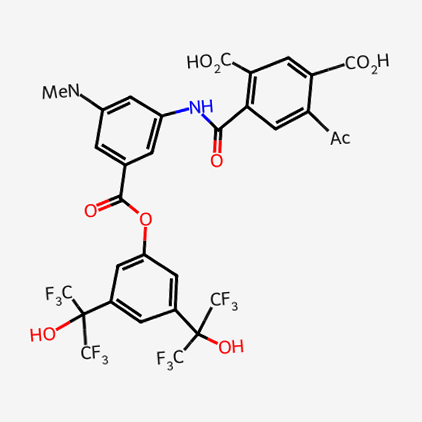 CNc1cc(NC(=O)c2cc(C(C)=O)c(C(=O)O)cc2C(=O)O)cc(C(=O)Oc2cc(C(O)(C(F)(F)F)C(F)(F)F)cc(C(O)(C(F)(F)F)C(F)(F)F)c2)c1